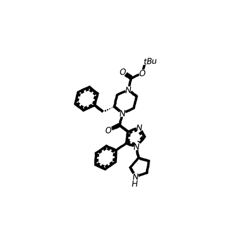 CC(C)(C)OC(=O)N1CCN(C(=O)c2ncn(C3CCNC3)c2-c2ccccc2)[C@H](Cc2ccccc2)C1